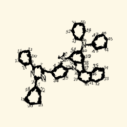 C[Si]1(C)c2cc(-c3cc(-c4ccccc4)nc(-c4ccccc4)n3)ccc2-n2c3ccc4ccccc4c3c3cc(N(c4ccccc4)c4ccccc4)cc1c32